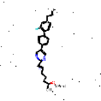 C=CCc1ccc(-c2ccc(-c3cnc(/C=C/CCCC(C)OCCCCC)nc3)cc2)c(F)c1